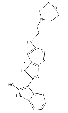 Oc1[nH]c2ccccc2c1-c1nc2ccc(NCCN3CCOCC3)cc2[nH]1